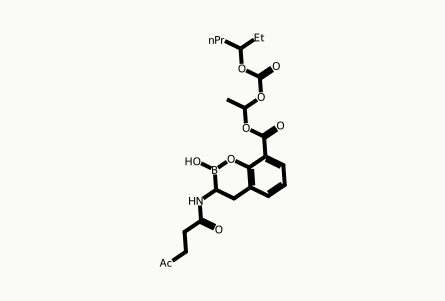 CCCC(CC)OC(=O)OC(C)OC(=O)c1cccc2c1OB(O)C(NC(=O)CCC(C)=O)C2